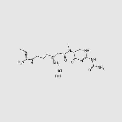 CN=C(N)NCCC[C@H](N)CC(=O)N(C)C1CNC(NC(N)=O)=NC1=O.Cl.Cl